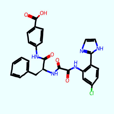 O=C(Nc1cc(Cl)ccc1-c1ncc[nH]1)C(=O)N[C@@H](Cc1ccccc1)C(=O)Nc1ccc(C(=O)O)cc1